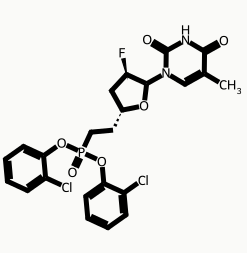 Cc1cn(C2O[C@H](CCP(=O)(Oc3ccccc3Cl)Oc3ccccc3Cl)C[C@H]2F)c(=O)[nH]c1=O